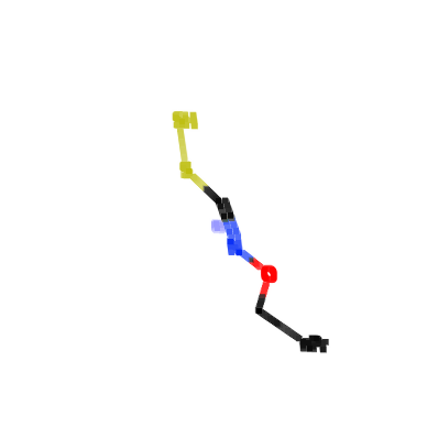 CCCCO/N=C/SS